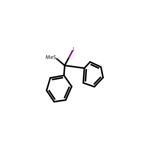 CSC(I)(c1ccccc1)c1ccccc1